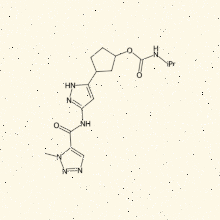 CC(C)NC(=O)OC1CCC(c2cc(NC(=O)c3cnnn3C)n[nH]2)C1